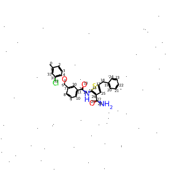 Cc1ccc(OCc2cccc(C(=O)Nc3sc(Cc4ccccc4)cc3C(N)=O)c2)c(Cl)c1